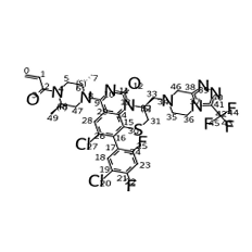 C=CC(=O)N1C[C@H](C)N(c2nc(=O)n3c4c(c(-c5cc(Cl)c(F)cc5F)c(Cl)cc24)SC[C@@H]3CN2CCn3c(nnc3C(F)(F)F)C2)C[C@H]1C